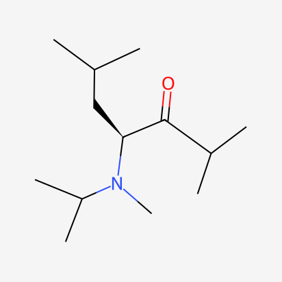 CC(C)C[C@@H](C(=O)C(C)C)N(C)C(C)C